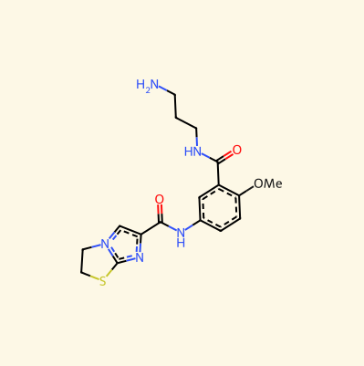 COc1ccc(NC(=O)c2cn3c(n2)SCC3)cc1C(=O)NCCCN